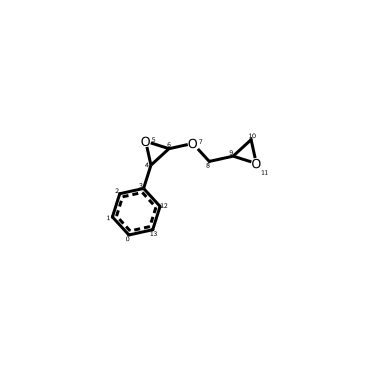 c1ccc(C2OC2OCC2CO2)cc1